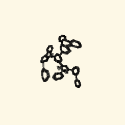 c1ccc(-c2cccc(-c3cc(-c4cc(-c5ccc6c7ccccc7c7ccccc7c6c5)cc(-n5c6ccccc6c6ccc(-c7ccccc7)cc65)c4)nc(-c4ccccc4)n3)c2)cc1